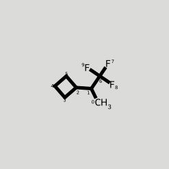 CC(C1CCC1)C(F)(F)F